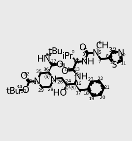 CC(C)[C@@H](NC(=O)N(C)Cc1cncs1)C(=O)N[C@@H](Cc1ccccc1)[C@H](O)CN1CCN(C(=O)OC(C)(C)C)C[C@H]1C(=O)NC(C)(C)C